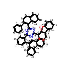 c1ccc(-c2ccc3ccccc3c2-c2nc(-c3ccccc3-c3cc4ccccc4c4ccccc34)nc(-c3cccc4c3oc3ccccc34)n2)cc1